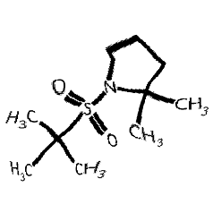 CC1(C)CCCN1S(=O)(=O)C(C)(C)C